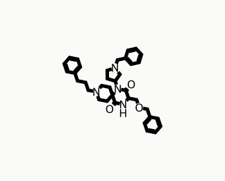 O=C1C(COCc2ccccc2)NC(=O)C2(CCN(CCCc3ccccc3)CC2)N1C1CCN(Cc2ccccc2)C1